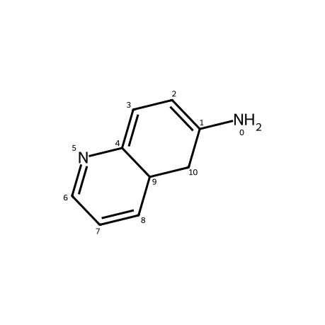 NC1=CC=C2N=CC=CC2C1